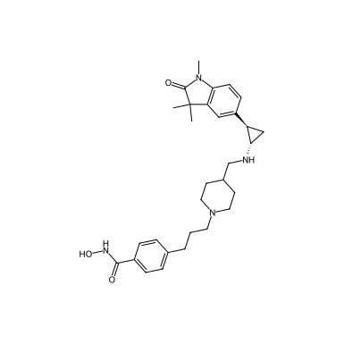 CN1C(=O)C(C)(C)c2cc([C@H]3C[C@@H]3NCC3CCN(CCCc4ccc(C(=O)NO)cc4)CC3)ccc21